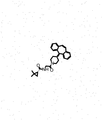 CC1(C)C[C@H]1C(=O)NCC(=O)N1CCC(=C2c3ccccc3C=Cc3ccccc32)CC1